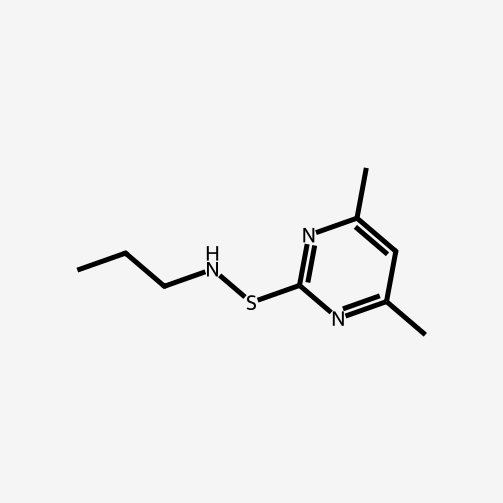 CCCNSc1nc(C)cc(C)n1